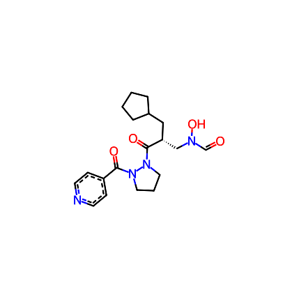 O=CN(O)C[C@@H](CC1CCCC1)C(=O)N1CCCN1C(=O)c1ccncc1